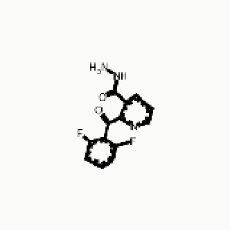 NNC(=O)c1cccnc1C(=O)c1c(F)cccc1F